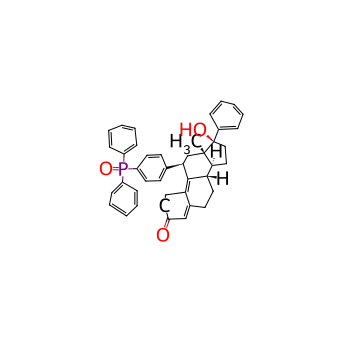 C[C@]12C[C@H](c3ccc(P(=O)(c4ccccc4)c4ccccc4)cc3)C3=C4CCC(=O)C=C4CC[C@H]3[C@@H]1CC[C@@]2(O)c1ccccc1